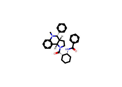 CN1c2ccccc2[C@@H]2[C@@H](CCN2C(=O)[C@H]2CCCC[C@H]2NC(=O)c2ccccc2)[C@H]1c1ccccc1